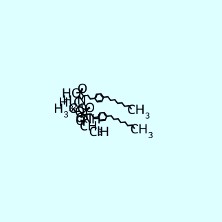 CCCCCCCCc1ccc(CCC(N)C(=O)O)cc1.CCCCCCCCc1ccc(CCC(NC(C)=O)(C(=O)OCC)C(=O)OCC)cc1.Cl